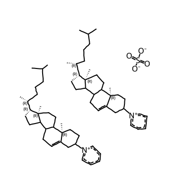 CC(C)CCC[C@@H](C)[C@H]1CCC2C3CC=C4CC([n+]5ccccc5)CC[C@]4(C)C3CC[C@@]21C.CC(C)CCC[C@@H](C)[C@H]1CCC2C3CC=C4CC([n+]5ccccc5)CC[C@]4(C)C3CC[C@@]21C.O=S(=O)([O-])[O-]